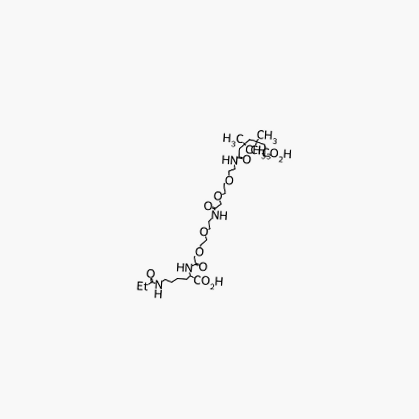 CCC(=O)NCCCCC(NC(=O)COCCOCCNC(=O)COCCOCCNC(=O)CC(C)(C)CC(C)(C)CC(=O)O)C(=O)O